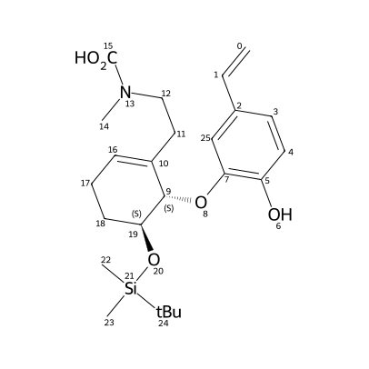 C=Cc1ccc(O)c(O[C@H]2C(CCN(C)C(=O)O)=CCC[C@@H]2O[Si](C)(C)C(C)(C)C)c1